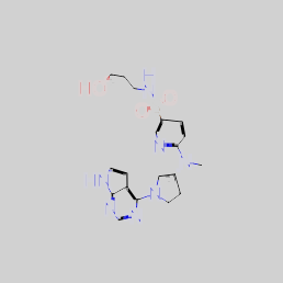 C[C@@H](O)CCNS(=O)(=O)c1ccc(N(C)[C@@H]2CCN(c3ncnc4[nH]ccc34)C2)nc1